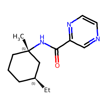 CC[C@H]1CCC[C@](C)(NC(=O)c2cnccn2)C1